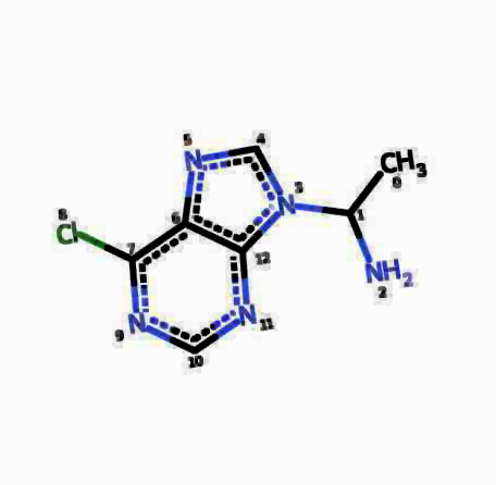 CC(N)n1cnc2c(Cl)ncnc21